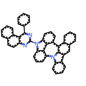 c1ccc(-c2nc(-n3c4cccc5c4c4c3cccc4n3c4ccccc4c4cc6ccccc6c5c43)nc3ccc4ccccc4c23)cc1